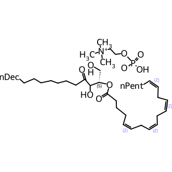 CCCCC/C=C\C/C=C\C/C=C\C/C=C\CCCC(=O)O[C@@H](CO)C(O)C(=O)CCCCCCCCCCCCCCCCC.C[N+](C)(C)CCOP(=O)([O-])O